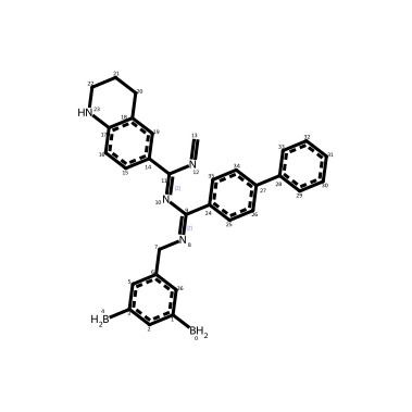 Bc1cc(B)cc(C/N=C(\N=C(/N=C)c2ccc3c(c2)CCCN3)c2ccc(-c3ccccc3)cc2)c1